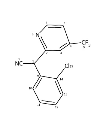 N#CC(c1cc(C(F)(F)F)ccn1)c1ccccc1Cl